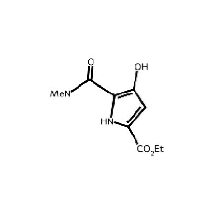 CCOC(=O)c1cc(O)c(C(=O)NC)[nH]1